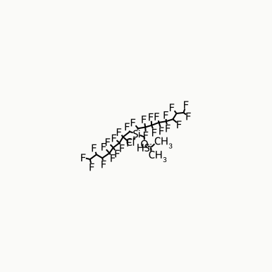 C[SiH](C)OC[Si](Cl)(C(F)C(F)(F)C(F)(F)C(F)(F)C(F)(F)C(F)C(F)C(F)F)C(F)C(F)(F)C(F)(F)C(F)(F)C(F)(F)C(F)C(F)C(F)F